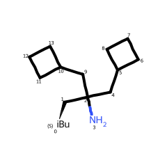 CC[C@H](C)CC(N)(CC1CCC1)CC1CCC1